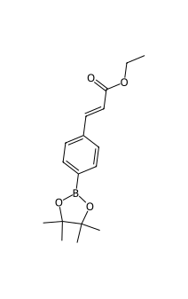 CCOC(=O)C=Cc1ccc(B2OC(C)(C)C(C)(C)O2)cc1